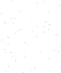 c1ccc(-c2cc(N3c4ccccc4[SiH](c4ccccc4)c4ccccc43)nc3ccc(N4c5ccccc5[Si](c5ccccc5)(c5ccccc5)c5ccccc54)cc23)cc1